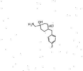 Cl.NCC1(O)CCC(Cc2ccc(F)cc2)CC1